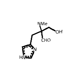 CNC(C=O)(CO)Cc1c[nH]cn1